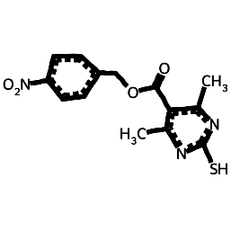 Cc1nc(S)nc(C)c1C(=O)OCc1ccc([N+](=O)[O-])cc1